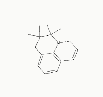 CC1(C)Cc2cccc3c2N(CC=C3)C1(C)C